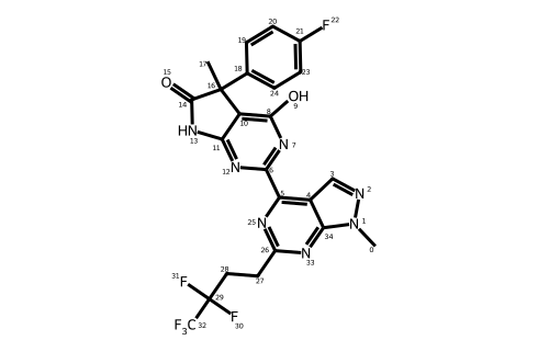 Cn1ncc2c(-c3nc(O)c4c(n3)NC(=O)C4(C)c3ccc(F)cc3)nc(CCC(F)(F)C(F)(F)F)nc21